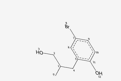 CC(CO)Cc1cc(Br)ccc1O